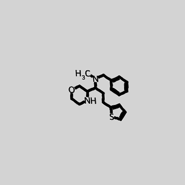 CN(Cc1ccccc1)C(CCc1cccs1)C1COCCN1